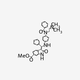 COC(=O)c1ccc2c(c1)NC(=O)/C2=C(\Nc1ccc(N(CCN(C)C)C(=O)c2ccccc2)cc1)c1ccccc1